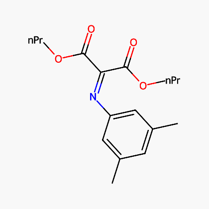 CCCOC(=O)C(=Nc1cc(C)cc(C)c1)C(=O)OCCC